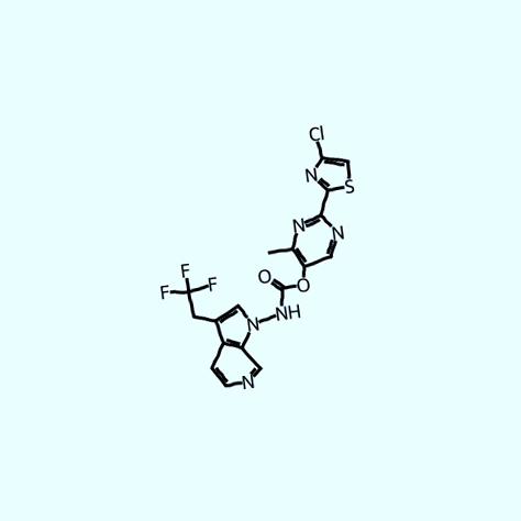 Cc1nc(-c2nc(Cl)cs2)ncc1OC(=O)Nn1cc(CC(F)(F)F)c2ccncc21